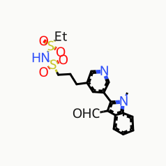 CCS(=O)(=O)NS(=O)(=O)CCCc1cncc(-c2c(C=O)c3ccccc3n2C)c1